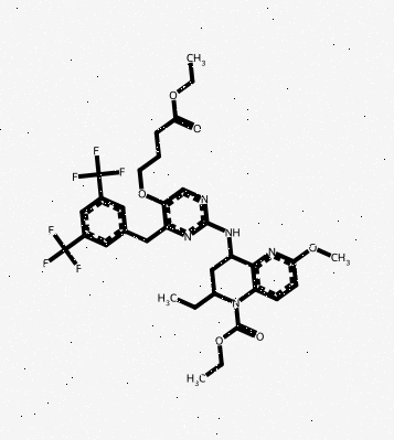 CCOC(=O)CCCOc1cnc(NC2CC(CC)N(C(=O)OCC)c3ccc(OC)nc32)nc1Cc1cc(C(F)(F)F)cc(C(F)(F)F)c1